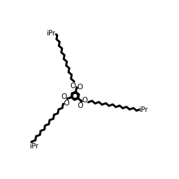 CC(C)CCCCCCCCCCCCCCCOC(=O)c1cc(C(=O)OCCCCCCCCCCCCCCCC(C)C)cc(C(=O)OCCCCCCCCCCCCCCCC(C)C)c1